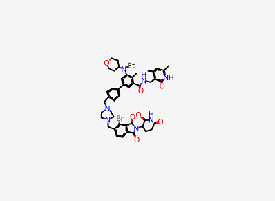 CCN(c1cc(-c2ccc(CN3CCN(Cc4ccc5c(c4Br)C(=O)N(C4CCC(=O)NC4=O)C5=O)CC3)cc2)cc(C(=O)NCc2c(C)cc(C)[nH]c2=O)c1C)C1CCOCC1